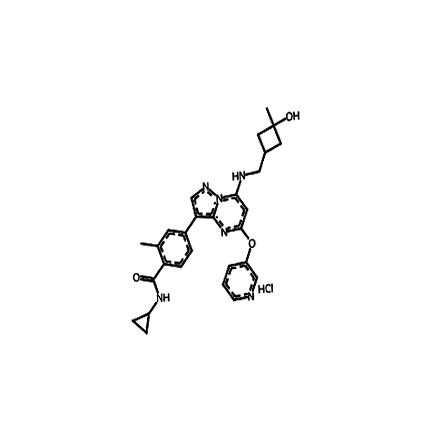 Cc1cc(-c2cnn3c(NCC4CC(C)(O)C4)cc(Oc4cccnc4)nc23)ccc1C(=O)NC1CC1.Cl